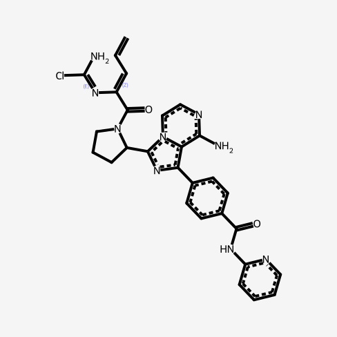 C=C/C=C(\N=C(/N)Cl)C(=O)N1CCCC1c1nc(-c2ccc(C(=O)Nc3ccccn3)cc2)c2c(N)nccn12